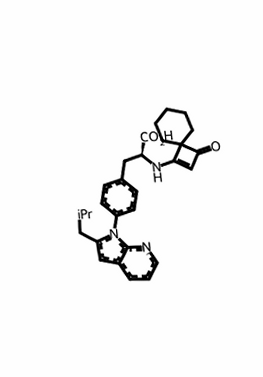 CC(C)Cc1cc2cccnc2n1-c1ccc(C[C@H](NC2=CC(=O)C23CCCCC3)C(=O)O)cc1